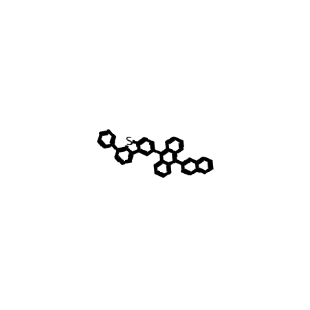 c1ccc(-c2cccc3c2sc2ccc(-c4c5ccccc5c(-c5ccc6ccccc6c5)c5ccccc45)cc23)cc1